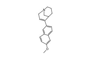 COc1ccc2cc(C3=CCN4CCCC3C4)ccc2c1